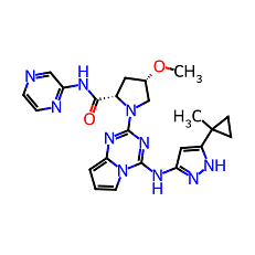 CO[C@H]1C[C@@H](C(=O)Nc2cnccn2)N(c2nc(Nc3cc(C4(C)CC4)[nH]n3)n3cccc3n2)C1